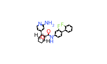 Nc1cc([C@H]2[C@@H](C(=O)Nc3ccc(-c4ccccc4F)c(F)c3)[C@H]3CC[C@@H]2O3)ccn1